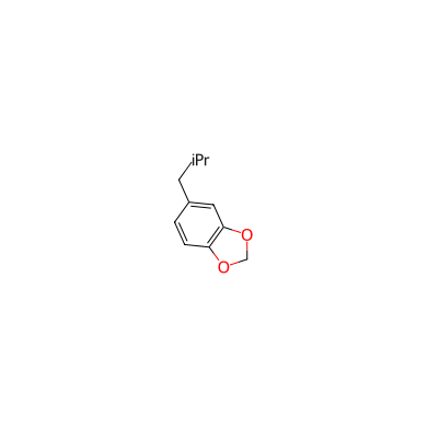 CC(C)Cc1ccc2c(c1)OCO2